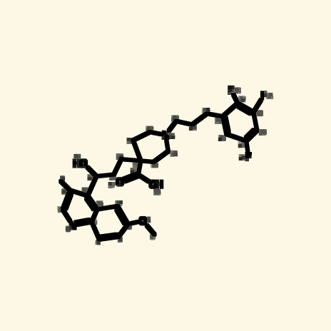 COc1ccc2ncc(C)c(C(O)CCC3(C(=O)O)CCN(CCCc4cc(F)cc(F)c4F)CC3)c2c1